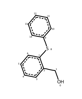 OCc1ccccc1Sc1ccccc1